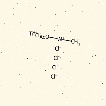 [CH3][Al+][O]C(C)=O.[Cl-].[Cl-].[Cl-].[Cl-].[Cl-].[Ti+4]